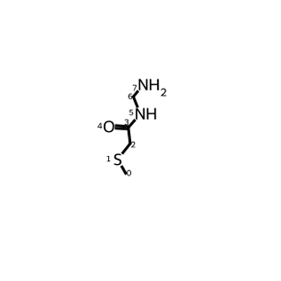 CSCC(=O)NCN